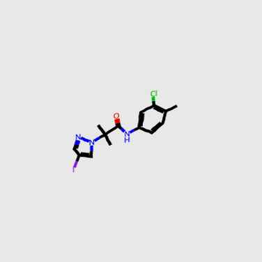 Cc1ccc(NC(=O)C(C)(C)n2cc(I)cn2)cc1Cl